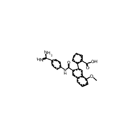 COc1cccc2cc(C(=O)Nc3ccc(C(=N)N)cc3)c(-c3ccccc3C(=O)O)cc12